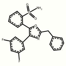 NS(=O)(=O)c1ccccc1-c1oc(Cc2ccccc2)nc1-c1cc(F)cc(F)c1